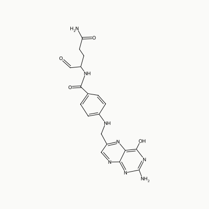 NC(=O)CCC(C=O)NC(=O)c1ccc(NCc2cnc3nc(N)nc(O)c3n2)cc1